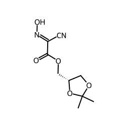 CC1(C)OC[C@@H](COC(=O)/C(C#N)=N/O)O1